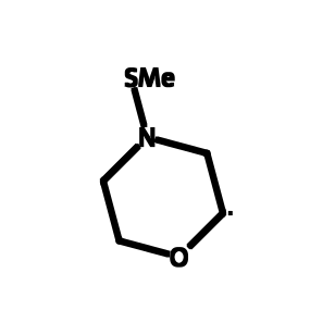 CSN1C[CH]OCC1